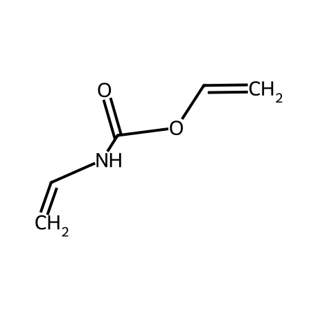 C=CNC(=O)OC=C